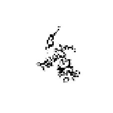 CCS(=O)(=O)O.CS(=O)(=O)n1cc2c(n1)CN([C@@H]1C[C@H](N)[C@@H](c3cc(F)ccc3F)O[C@@H]1C(F)(F)F)C2